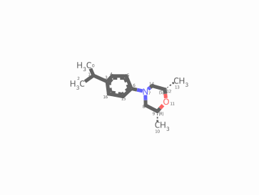 CC(C)c1ccc(N2C[C@@H](C)O[C@@H](C)C2)cc1